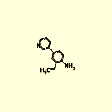 C=Cc1cc(-c2cccnc2)ccc1N